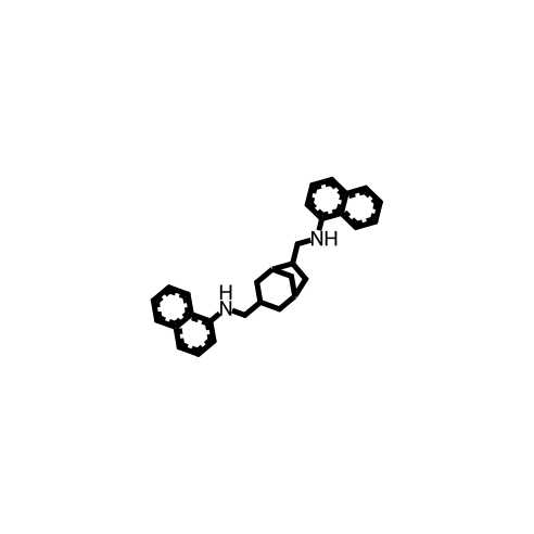 c1ccc2c(NCC3CC4CC(CNc5cccc6ccccc56)C(C3)C4)cccc2c1